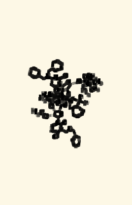 CO[C@@H]1[C@H](OP(=O)(OCc2ccccc2C(F)(F)F)OC[C@H]2O[C@@H](n3ccc(=O)n(COCc4ccccc4)c3=O)[C@H](OC)[C@@H]2O[Si](C)(C)C(C)(C)C)[C@@H](CO[Si](C)(C)C(C)(C)C)O[C@H]1n1ccc(N(Cc2ccccc2)Cc2ccccc2)nc1=O